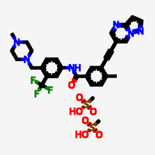 CS(=O)(=O)O.CS(=O)(=O)O.Cc1ccc(C(=O)Nc2ccc(CN3CCN(C)CC3)c(C(F)(F)F)c2)cc1C#Cc1cnc2ccnn2c1